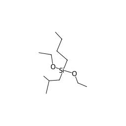 CCCC[Si](CC(C)C)(OCC)OCC